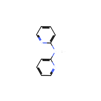 [Ir+3].c1ccc(Nc2ccccn2)nc1